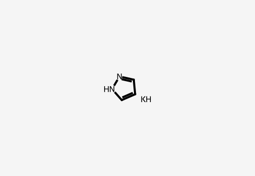 [KH].c1cn[nH]c1